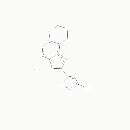 Cc1cc(-c2nc3cnc4c(c3[nH]2)CSCC4)on1.Cl